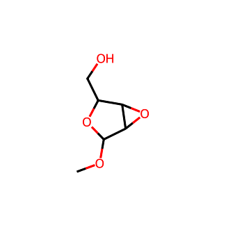 COC1OC(CO)C2OC12